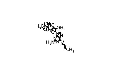 C=P(C)(C)CC[C@H]1O[C@@H](n2cnc3c(OCCCC)nc(N)nc32)[C@H](O)[C@@H]1O